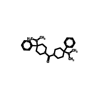 CN(C)C1(c2ccccc2)CCN(C(=O)N2CCC(c3ccccc3)(N(C)C)CC2)CC1